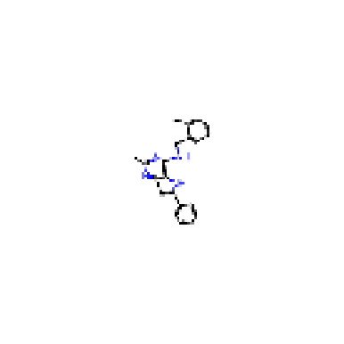 Cc1nc(NCc2ccccc2C)c2[nH]c(-c3ccccc3)cc2n1